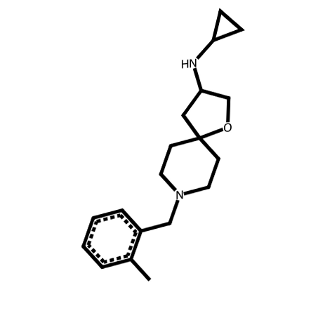 Cc1ccccc1CN1CCC2(CC1)CC(NC1CC1)CO2